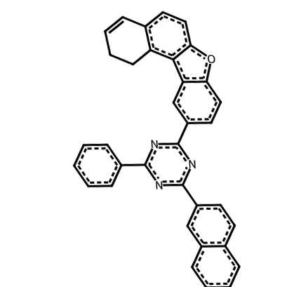 C1=Cc2ccc3oc4ccc(-c5nc(-c6ccccc6)nc(-c6ccc7ccccc7c6)n5)cc4c3c2CC1